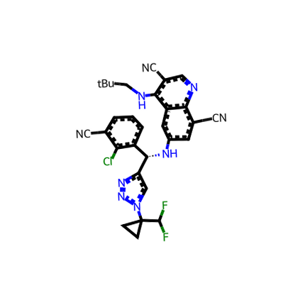 CC(C)(C)CNc1c(C#N)cnc2c(C#N)cc(N[C@H](c3cn(C4(C(F)F)CC4)nn3)c3cccc(C#N)c3Cl)cc12